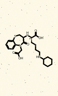 O=C(O)CN1C(=O)C(N[C@H](CCCCNC2CCCCC2)C(=O)O)CSc2ccccc21